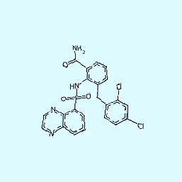 NC(=O)c1cccc(Cc2ccc(Cl)cc2Cl)c1NS(=O)(=O)c1cccc2nccnc12